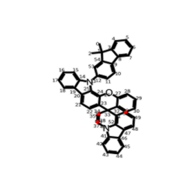 CC1(C)c2ccccc2-c2ccc(-n3c4ccccc4c4ccc5c(c43)Oc3ccccc3C53c4ccccc4-n4c5ccccc5c5cccc3c54)cc21